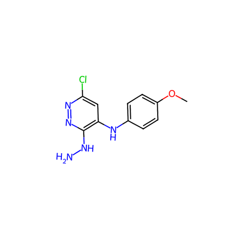 COc1ccc(Nc2cc(Cl)nnc2NN)cc1